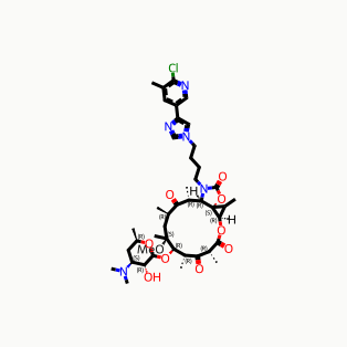 CO[C@@]1(C)C[C@@H](C)C(=O)[C@H](C)[C@H]2N(CCCCn3cnc(-c4cnc(Cl)c(C)c4)c3)C(=O)O[C@@]23C(C)[C@H]3OC(=O)[C@H](C)C(=O)[C@H](C)[C@H]1OC1O[C@H](C)C[C@H](N(C)C)[C@H]1O